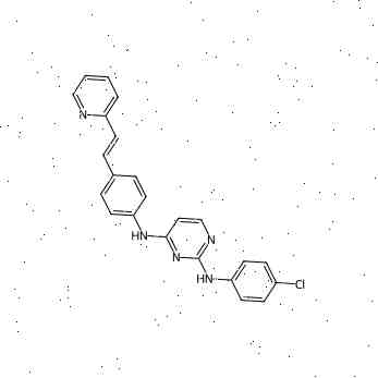 Clc1ccc(Nc2nccc(Nc3ccc(C=Cc4ccccn4)cc3)n2)cc1